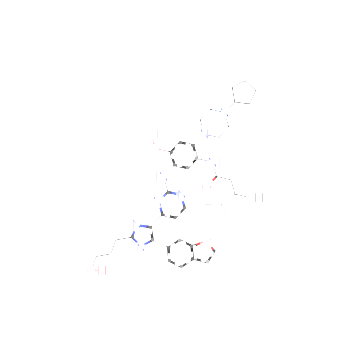 COc1cc(N2CCN(C3CCCC3)CC2)c(NC(=O)CC(C)C)cc1Nc1nccc(-c2[nH]c(CCCO)nc2-c2ccc3ccoc3c2)n1